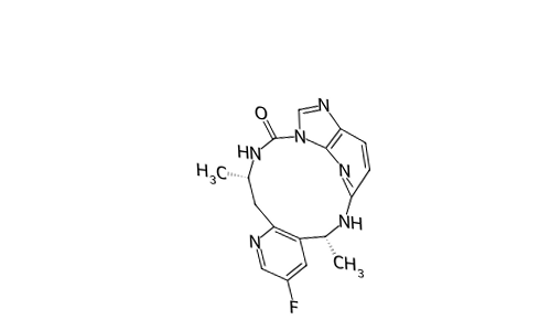 C[C@H]1Cc2ncc(F)cc2[C@@H](C)Nc2ccc3ncn(c3n2)C(=O)N1